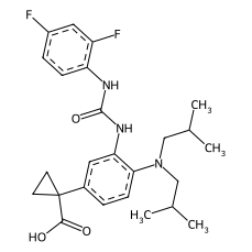 CC(C)CN(CC(C)C)c1ccc(C2(C(=O)O)CC2)cc1NC(=O)Nc1ccc(F)cc1F